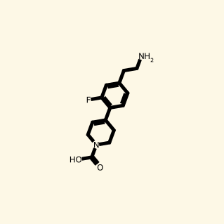 NCCc1ccc(C2=CCN(C(=O)O)CC2)c(F)c1